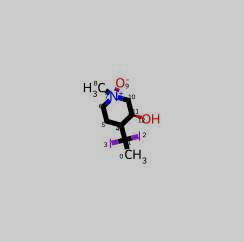 CC(I)(I)C1CC[N+](C)([O-])C[C@H]1O